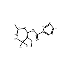 COC1C(OC(=O)c2ccccc2)CC(C)SSC1(C)C